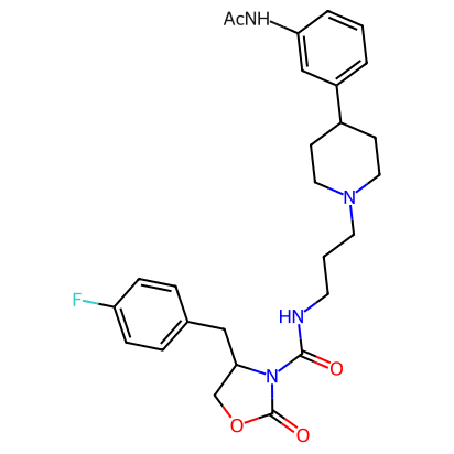 CC(=O)Nc1cccc(C2CCN(CCCNC(=O)N3C(=O)OCC3Cc3ccc(F)cc3)CC2)c1